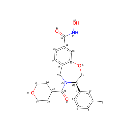 Cc1cccc([C@@H]2COc3cc(C(=O)NO)ccc3CN2C(=O)C2CCOCC2)c1